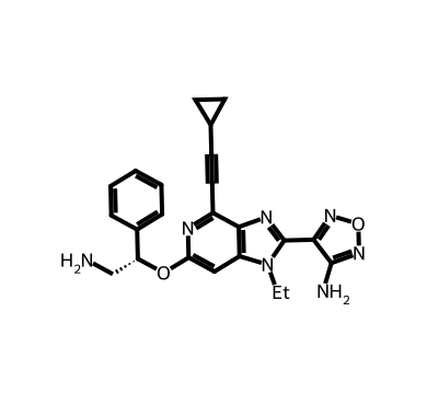 CCn1c(-c2nonc2N)nc2c(C#CC3CC3)nc(O[C@H](CN)c3ccccc3)cc21